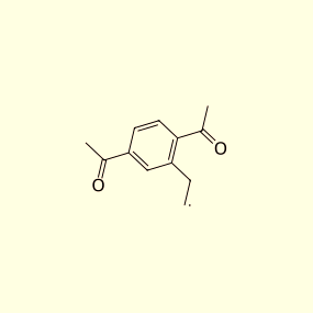 [CH2]Cc1cc(C(C)=O)ccc1C(C)=O